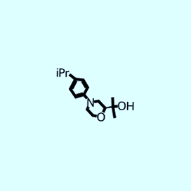 CC(C)c1ccc(N2CCO[C@H](C(C)(C)O)C2)cc1